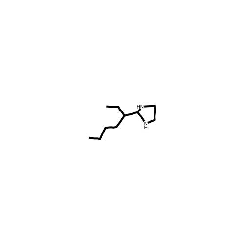 CCCCC(CC)C1NCCN1